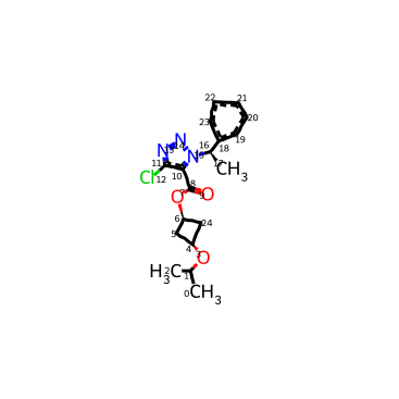 CC(C)O[C@H]1C[C@@H](OC(=O)c2c(Cl)nnn2[C@H](C)c2ccccc2)C1